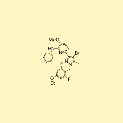 CCOc1cc(F)c(Cn2nc(-c3ncc(OC)c(Nc4ccncc4)n3)c(Br)c2C)c(F)c1